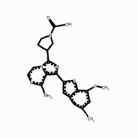 COc1cc(C)cc2cc(-c3nc(C4CCN(C(=O)O)C4)n4ccnc(N)c34)sc12